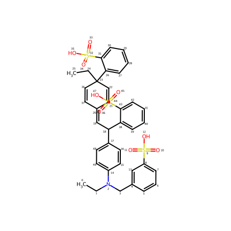 CCN(Cc1cccc(S(=O)(=O)O)c1)c1ccc(C(C=C2C=CC(CC)(c3cc[c]cc3S(=O)(=O)O)C=C2)c2ccccc2S(=O)(=O)O)cc1